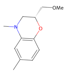 COC[C@H]1CN(C)c2cc(C)ccc2O1